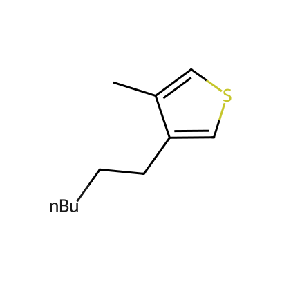 CCCCCCc1cscc1C